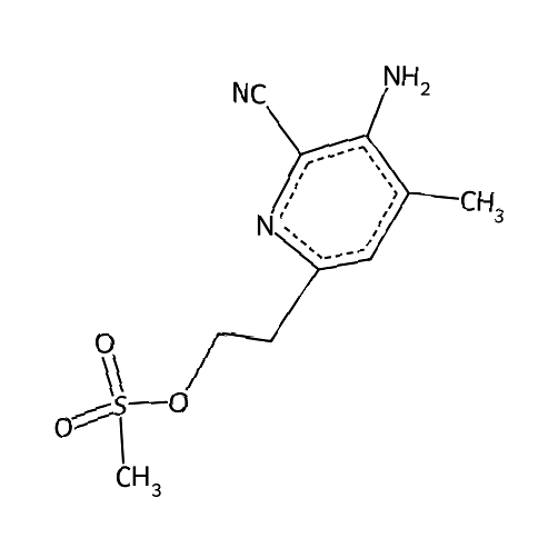 Cc1cc(CCOS(C)(=O)=O)nc(C#N)c1N